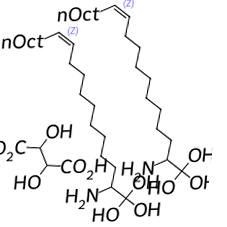 CCCCCCCC/C=C\CCCCCCCCC(N)C(O)(O)O.CCCCCCCC/C=C\CCCCCCCCC(N)C(O)(O)O.O=C(O)C(O)C(O)C(=O)O